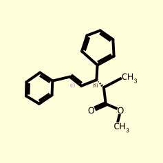 COC(=O)C(C)[C@H](/C=C/c1ccccc1)c1ccccc1